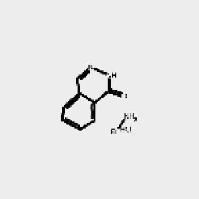 CCN.Cl.O=c1[nH]ncc2ccccc12